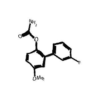 COc1ccc(OC(N)=O)c(-c2cccc(F)c2)c1